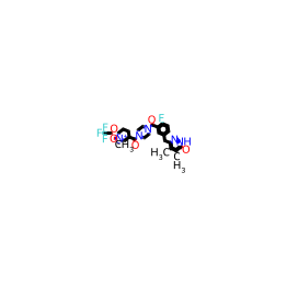 Cc1c(Cc2ccc(F)c(C(=O)N3CCN(C(=O)C4CCC[N+](C)(OC(=O)C(F)(F)F)C4)CC3)c2)n[nH]c(=O)c1C